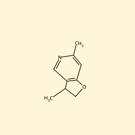 Cc1cc2c(cn1)C(C)CO2